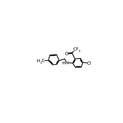 Cc1ccc(CNc2ccc(Cl)cc2C(=O)C(F)(F)F)cc1